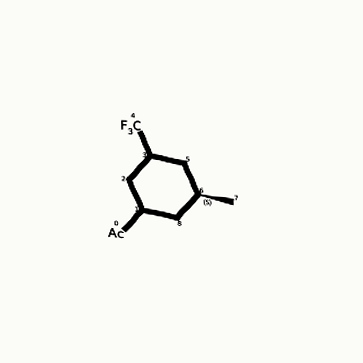 CC(=O)C1CC(C(F)(F)F)C[C@@H](C)C1